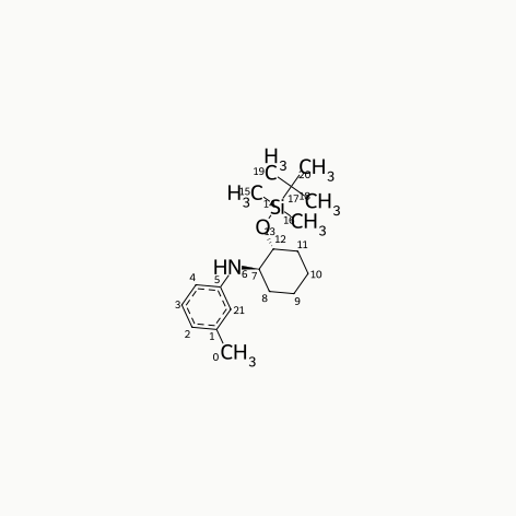 Cc1cccc(N[C@@H]2CCCC[C@H]2O[Si](C)(C)C(C)(C)C)c1